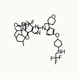 CC1CC2CC(C)C(NC(=O)c3cnc(N4CC5(CCOCC5)c5cc(O[C@H]6CC[C@H](NCC(F)(F)F)CC6)ccc54)nc3C(C)(F)F)(C(=O)O)C(C1)C2